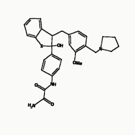 COc1cc(CC2c3ccccc3SC2(O)c2ccc(NC(=O)C(N)=O)cc2)ccc1CN1CCCC1